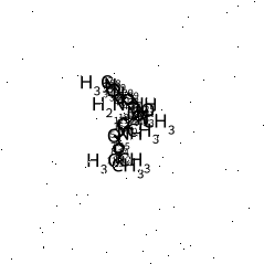 Cc1c(NC(=O)c2ccc(C(C)(C)C)cc2)cccc1-c1cn(C)c(=O)c(Nc2ccc(N3CCCN(C)CC3)c(N)c2)n1